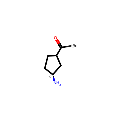 CC(C)(C)C(=O)C1CC[C@H](N)C1